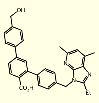 CCc1nc2c(C)cc(C)nc2n1Cc1ccc(-c2cc(-c3ccc(CO)cc3)ccc2C(=O)O)cc1